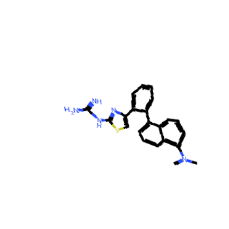 CN(C)c1cccc2c(-c3ccccc3-c3csc(NC(=N)N)n3)cccc12